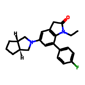 CCN1C(=O)Cc2cc(N3C[C@H]4CCC[C@@H]4C3)cc(-c3ccc(F)cc3)c21